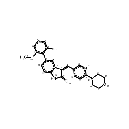 COc1cccc(F)c1-c1ccc2c(c1)C(=Cc1ccc(N3CCOCC3)nc1)C(=O)N2